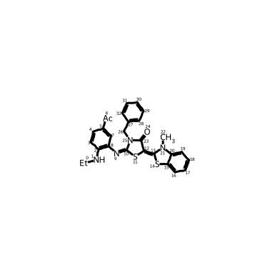 CCNc1ccc(C(C)=O)cc1/N=C1/S/C(=C2\Sc3ccccc3N2C)C(=O)N1Cc1ccccc1